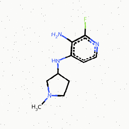 CN1CCC(Nc2ccnc(F)c2N)C1